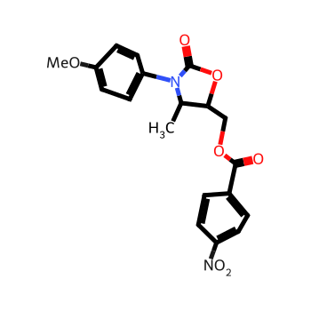 COc1ccc(N2C(=O)OC(COC(=O)c3ccc([N+](=O)[O-])cc3)C2C)cc1